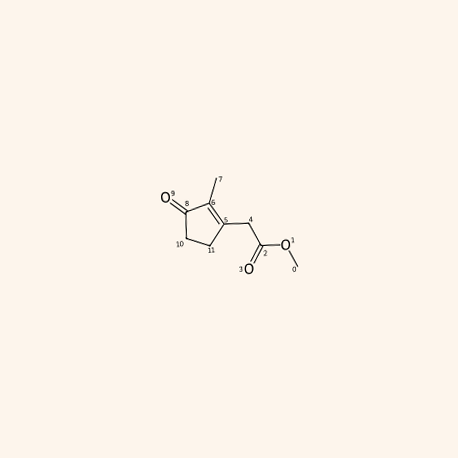 COC(=O)CC1=C(C)C(=O)CC1